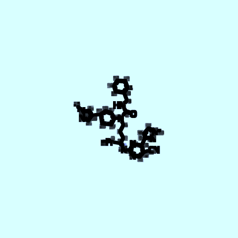 CCC/C(CCCN(C(=O)NCc1ccccc1)c1ccc(-c2cnn(C)c2)cc1)=N/c1ncc(C#N)c(-c2ccn(C)n2)n1